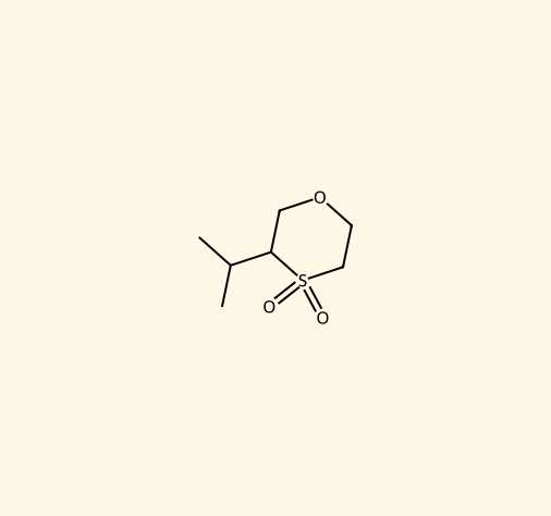 CC(C)C1COCCS1(=O)=O